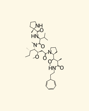 CC[C@H](C)[C@@H]([C@@H](CC(=O)N1CCC[C@H]1[C@H](OC)[C@@H](C)C(=O)NCCC1C=CC=CC=C1)OC)N(C)C(=O)[C@@H](NC(=O)[C@]1(C)CCCN1)C(C)C